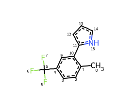 Cc1ccc(C(F)(F)F)cc1-c1ccc[nH]1